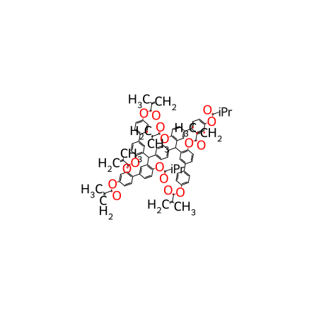 C=C(C)C(=O)Oc1ccc(-c2ccc(OC(=O)C(=C)C)c(C(c3ccc(C(c4cc(-c5ccc(OC(=O)C(=C)C)cc5)ccc4OC(=O)C(=C)C)c4cc(-c5ccc(OC(=O)C(=C)C)cc5)ccc4OC(=O)C(C)C)cc3)c3cc(-c4ccc(OC(=O)C(C)C)cc4)ccc3OC(=O)C(=C)C)c2)cc1